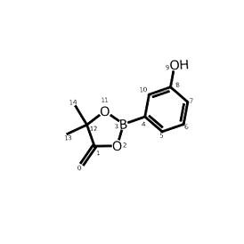 C=C1OB(c2cccc(O)c2)OC1(C)C